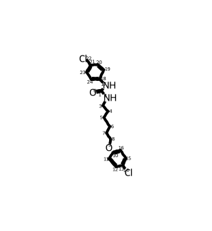 O=C(NCCCCCCOc1ccc(Cl)cc1)Nc1ccc(Cl)cc1